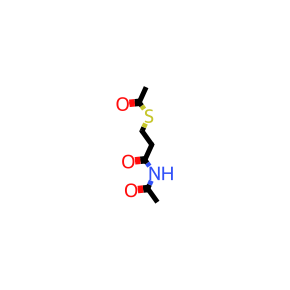 CC(=O)NC(=O)CCSC(C)=O